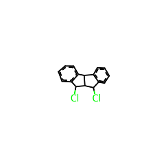 ClC1c2ccccc2C2c3ccccc3C(Cl)C12